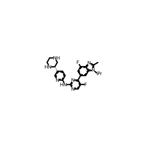 Cc1nc2c(F)cc(-c3nc(Nc4ccc([C@H]5CNCCN5)cn4)ncc3F)cc2n1C(C)C